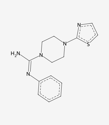 NC(=Nc1ccccc1)N1CCN(c2nccs2)CC1